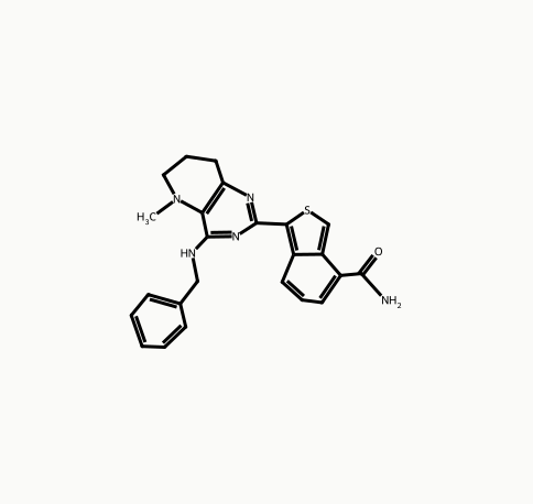 CN1CCCc2nc(-c3scc4c(C(N)=O)cccc34)nc(NCc3ccccc3)c21